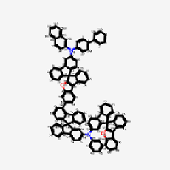 c1ccc(-c2ccc(N(c3ccc4c(c3)-c3ccccc3C43c4ccccc4-c4c3oc3cc(-c5cccc6c5-c5ccccc5C65c6ccccc6-c6ccc(N(c7ccccc7)c7ccc8c(c7)C7(c9ccccc9-8)c8ccccc8-c8c7oc7ccccc87)cc65)ccc43)c3ccc4ccccc4c3)cc2)cc1